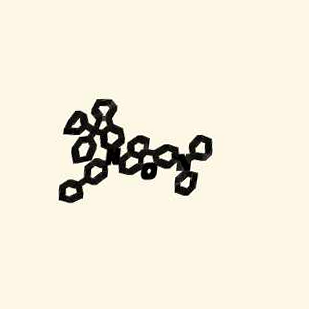 c1ccc(-c2ccc(N(c3ccc4c(c3)C(c3ccccc3)(c3ccccc3)c3ccccc3-4)c3ccc4c5c(cccc35)-c3ccc(N(c5ccccc5)c5ccccc5)cc3O4)cc2)cc1